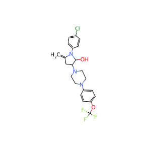 C=C1CC(N2CCN(c3ccc(OC(F)(F)F)cc3)CC2)C(O)N1c1ccc(Cl)cc1